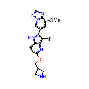 COc1cc(-c2[nH]c3ccc(OCC4CNC4)nc3c2C(C)C)cn2ncnc12